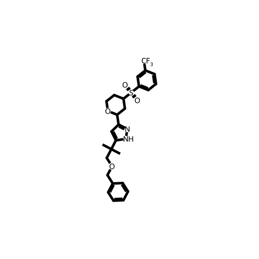 CC(C)(COCc1ccccc1)c1cc(C2CC(S(=O)(=O)c3cccc(C(F)(F)F)c3)CCO2)n[nH]1